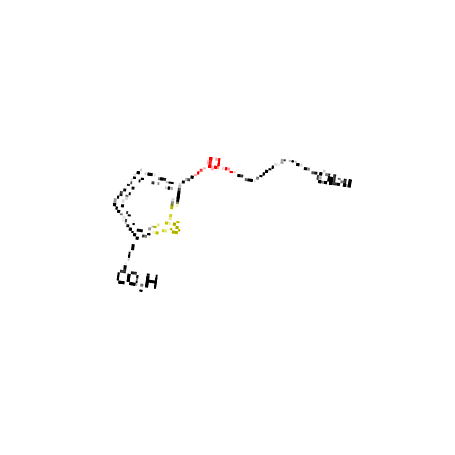 CC(C)COCCOc1ccc(C(=O)O)s1